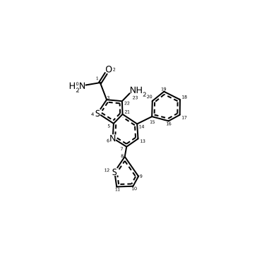 NC(=O)c1sc2nc(-c3cccs3)cc(-c3ccccc3)c2c1N